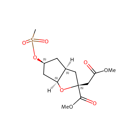 COC(=O)C[C@]1(C(=O)OC)C[C@@H]2C[C@H](OS(C)(=O)=O)C[C@@H]2O1